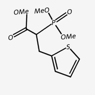 COC(=O)C(Cc1cccs1)P(=O)(OC)OC